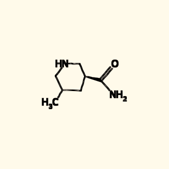 CC1CNC[C@@H](C(N)=O)C1